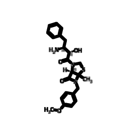 COc1ccc(CN2C(=O)[C@H]3N(C(=O)[C@@H](O)[C@@H](N)Cc4ccccc4)CSC32C)cc1